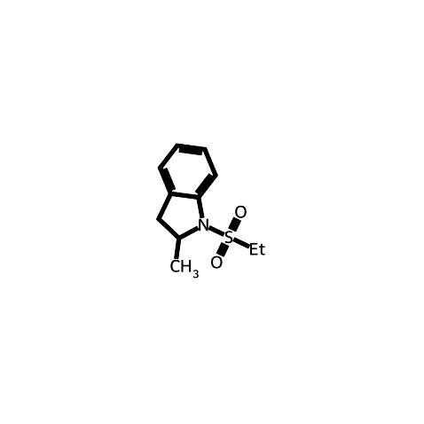 CCS(=O)(=O)N1c2ccccc2CC1C